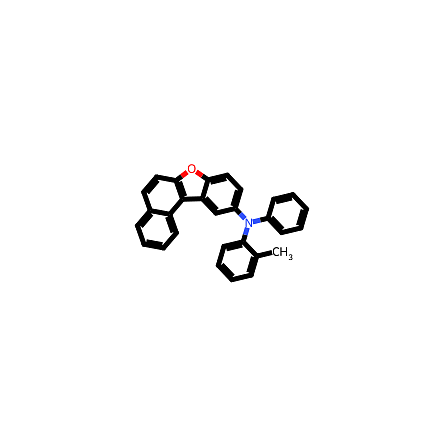 Cc1ccccc1N(c1ccccc1)c1ccc2oc3ccc4ccccc4c3c2c1